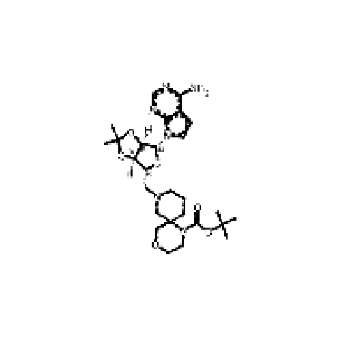 CC(C)(C)OC(=O)N1CCOCC12CCCN(C[C@H]1O[C@@H](n3ccc4c(N)ncnc43)[C@@H]3OC(C)(C)O[C@@H]31)C2